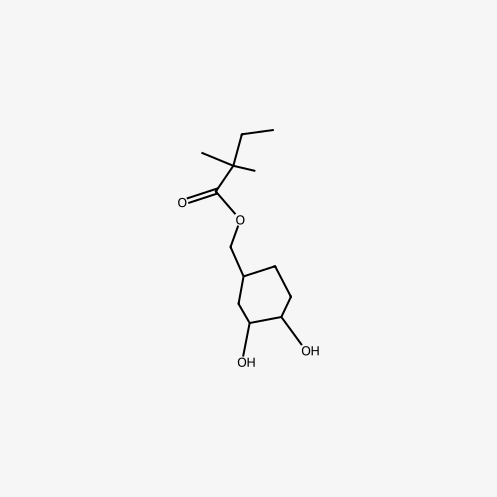 CCC(C)(C)C(=O)OCC1CCC(O)C(O)C1